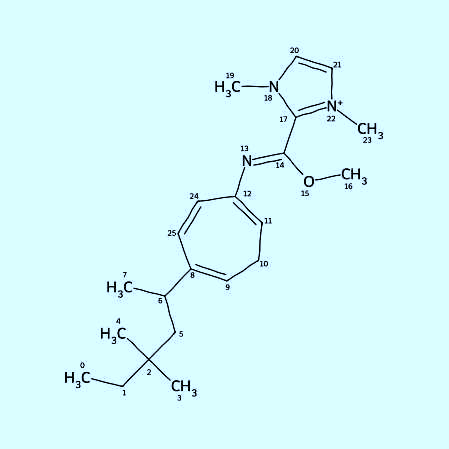 CCC(C)(C)CC(C)C1=CCC=C(/N=C(\OC)c2n(C)cc[n+]2C)C=C1